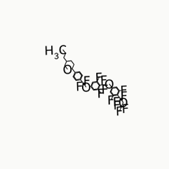 CCCC1CCC(c2ccc(C(F)(F)Oc3cc(F)c(C(F)(F)Oc4cc(F)c(C(F)(F)OC(F)(F)F)c(F)c4)c(F)c3)cc2)OC1